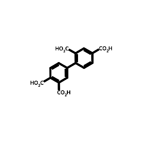 O=C(O)c1ccc(-c2ccc(C(=O)O)c(C(=O)O)c2)c(C(=O)O)c1